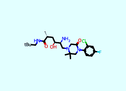 C[C@H](C[C@H](O)[C@@H](N)CN1CC(=O)N(c2ccc(F)cc2Cl)CC1(C)C)C(=O)NCC(C)(C)C